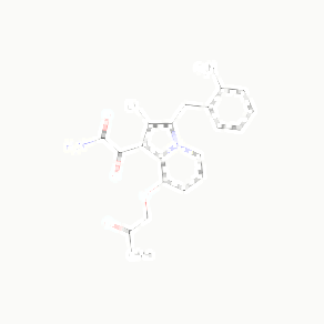 CCc1c(C(=O)C(N)=O)c2c(OCC(=O)OC)cccn2c1Cc1ccccc1[N+](=O)[O-]